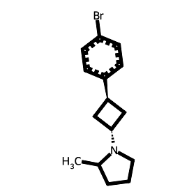 CC1CCCN1[C@H]1C[C@H](c2ccc(Br)cc2)C1